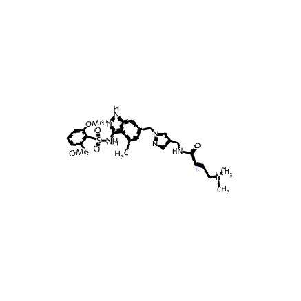 COc1cccc(OC)c1S(=O)(=O)Nc1n[nH]c2cc(Cn3cc(CNC(=O)/C=C/CN(C)C)cn3)cc(C)c12